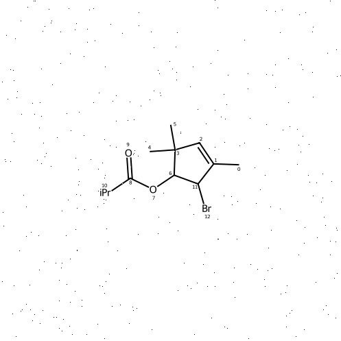 CC1=CC(C)(C)C(OC(=O)C(C)C)C1Br